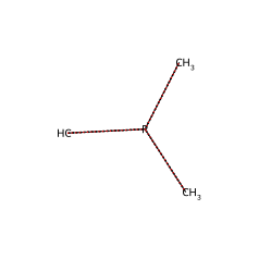 C#CC#CC#CC#CC#CC#CC#CC#CC#CC#CC#CC#CC#CC#CC#CC#CC#CC#CC#CC#CP(C#CC#CC#CC#CC#CC#CC#CC#CC#CC#CC#CC#CC#CC#CC#CC#CC#CC#CC#CC)C#CC#CC#CC#CC#CC#CC#CC#CC#CC#CC#CC#CC#CC#CC#CC#CC#CC#CC#CC